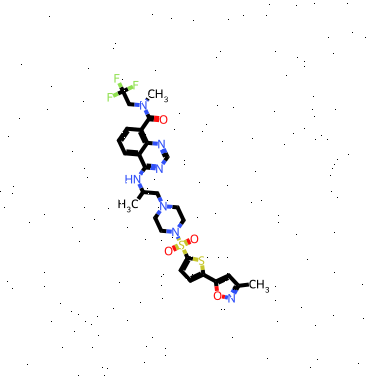 Cc1cc(-c2ccc(S(=O)(=O)N3CCN(CC(C)Nc4ncnc5c(C(=O)N(C)CC(F)(F)F)cccc45)CC3)s2)on1